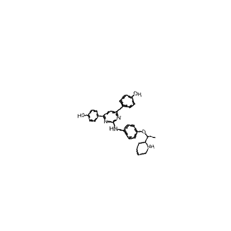 CC(Oc1ccc(Nc2nc(-c3ccc(O)cc3)cc(-c3ccc(O)cc3)n2)cc1)C1CCCCN1